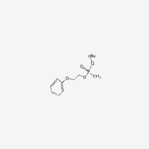 CCCCOP(C)(=O)OCCOc1ccccc1